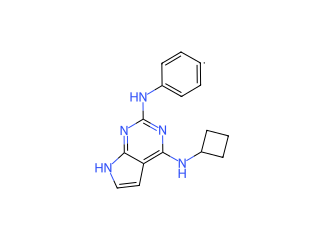 [c]1ccc(Nc2nc(NC3CCC3)c3cc[nH]c3n2)cc1